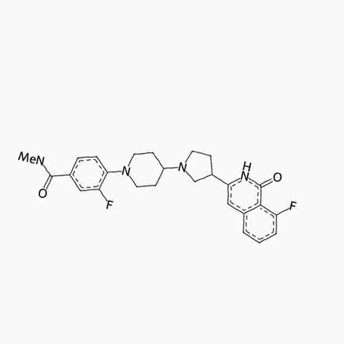 CNC(=O)c1ccc(N2CCC(N3CCC(c4cc5cccc(F)c5c(=O)[nH]4)C3)CC2)c(F)c1